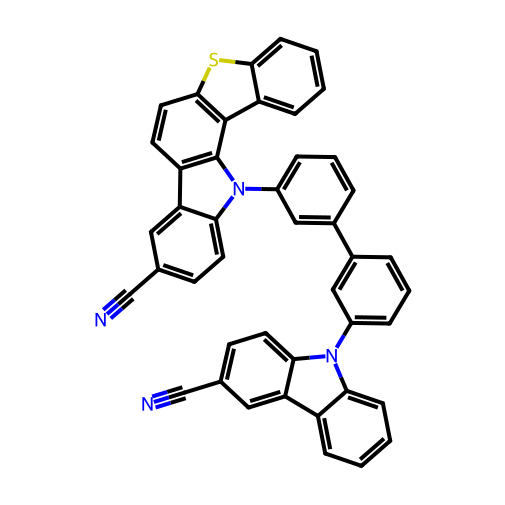 N#Cc1ccc2c(c1)c1ccccc1n2-c1cccc(-c2cccc(-n3c4ccc(C#N)cc4c4ccc5sc6ccccc6c5c43)c2)c1